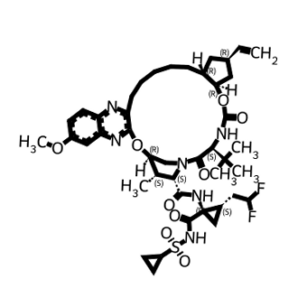 C=C[C@@H]1C[C@H]2CCCCCc3nc4ccc(OC)cc4nc3O[C@H]3CN(C(=O)[C@H](C(C)(C)C)NC(=O)O[C@@H]2C1)[C@H](C(=O)N[C@]1(C(=O)NS(=O)(=O)C2CC2)C[C@H]1CC(F)F)[C@@H]3C